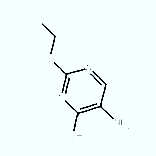 CCOc1ncc(N)c(O)n1